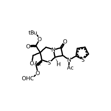 CC(=O)OCC1(C(=O)OC(C)(C)C)CN2C(=O)C(N(C(C)=O)c3cccs3)[C@H]2SC1=COC=O